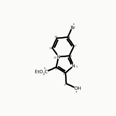 CCOC(=O)c1c(CO)nc2cc(Br)ccn12